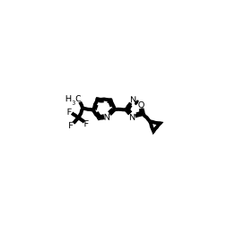 CC(c1ccc(-c2noc(C3CC3)n2)nc1)C(F)(F)F